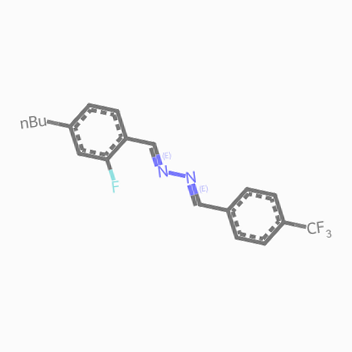 CCCCc1ccc(/C=N/N=C/c2ccc(C(F)(F)F)cc2)c(F)c1